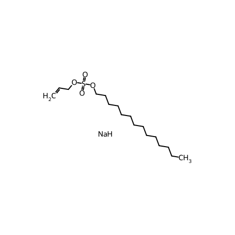 C=CCOS(=O)(=O)OCCCCCCCCCCCCCC.[NaH]